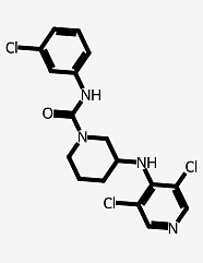 O=C(Nc1cccc(Cl)c1)N1CCCC(Nc2c(Cl)cncc2Cl)C1